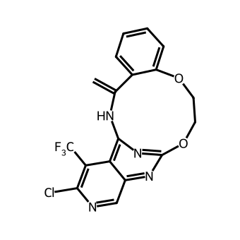 C=C1Nc2nc(nc3cnc(Cl)c(C(F)(F)F)c23)OCCOc2ccccc21